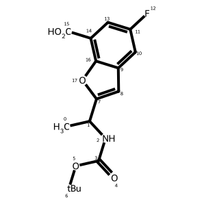 CC(NC(=O)OC(C)(C)C)c1cc2cc(F)cc(C(=O)O)c2o1